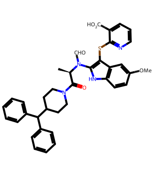 COc1ccc2[nH]c(N(C=O)[C@H](C)C(=O)N3CCC(C(c4ccccc4)c4ccccc4)CC3)c(Sc3ncccc3C(=O)O)c2c1